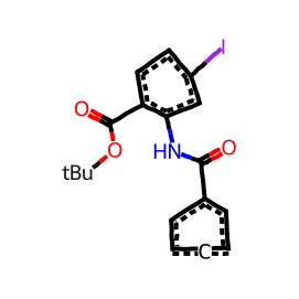 CC(C)(C)OC(=O)c1ccc(I)cc1NC(=O)c1ccccc1